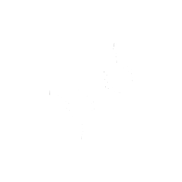 Fc1cccc(-c2cc(F)cc(F)c2)c1